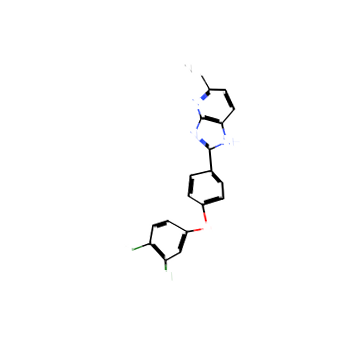 N#Cc1ccc2[nH]c(-c3ccc(Oc4ccc(Cl)c(Cl)c4)cc3)nc2n1